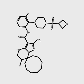 Nc1nn2c(c1C(=O)Nc1cncc(F)c1N1CCN(S(=O)(=O)C3COC3)CC1)NCC(F)C21CCCCCCCC1